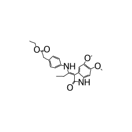 CCOC(=O)Cc1ccc(NC(CC)=C2C(=O)Nc3cc(OC)c(OC)cc32)cc1